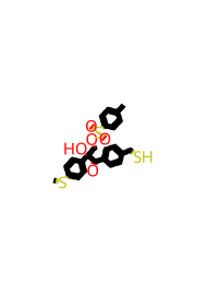 CSc1ccc(C(O)(COS(=O)(=O)c2ccc(C)cc2)C(=O)c2ccc(CS)cc2)cc1